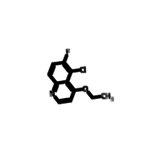 CCOc1ccnc2ccc(F)c(Cl)c12